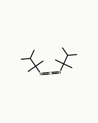 CC(C)C(C)(C)N=C=NC(C)(C)C(C)C